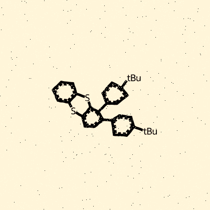 CC(C)(C)c1ccc(-c2ccc3c(c2-c2ccc(C(C)(C)C)cc2)Sc2ccccc2S3)cc1